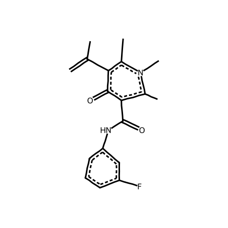 C=C(C)c1c(C)n(C)c(C)c(C(=O)Nc2cccc(F)c2)c1=O